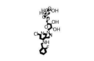 O=P(O)(O)CP(=O)(O)OC[C@@H]1O[C@H](n2ncc3c(NCc4ccccc4F)cc(Cl)nc32)[C@@H](O)[C@H]1O